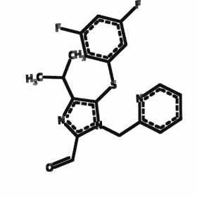 CC(C)c1nc(C=O)n(Cc2ccccn2)c1Sc1cc(F)cc(F)c1